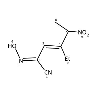 CC/C(=C\C(C#N)=N/O)C(C)[N+](=O)[O-]